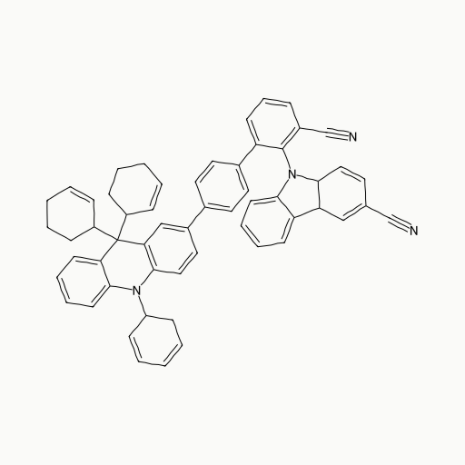 N#CC1=CC2c3ccccc3N(c3c(C#N)cccc3-c3ccc(-c4ccc5c(c4)C(C4C=CCCC4)(C4C=CCCC4)c4ccccc4N5C4C=CC=CC4)cc3)C2C=C1